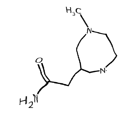 CN1CC[N]C(CC(N)=O)C1